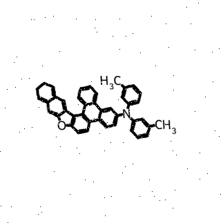 Cc1cccc(N(c2cccc(C)c2)c2ccc3c(c2)c2ccccc2c2c3ccc3oc4cc5c(cc4c32)=CCCC=5)c1